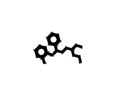 CCCN(CC)CCC(Oc1ccccc1C)c1ccccc1